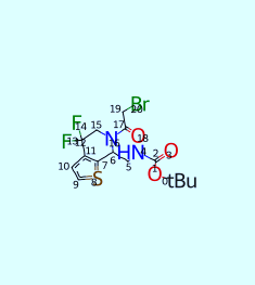 CC(C)(C)OC(=O)NCC1c2sccc2C(F)(F)CN1C(=O)CBr